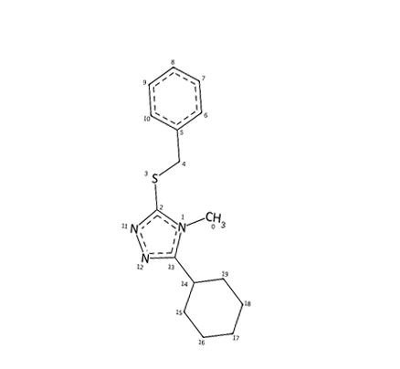 Cn1c(SCc2ccccc2)nnc1C1CCCCC1